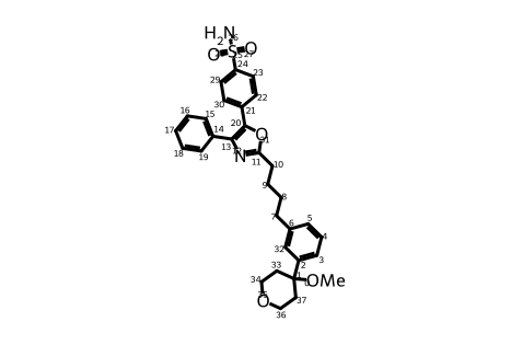 COC1(c2cccc(CCCCc3nc(-c4ccccc4)c(-c4ccc(S(N)(=O)=O)cc4)o3)c2)CCOCC1